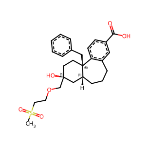 CS(=O)(=O)CCOC[C@]1(O)CC[C@]2(Cc3ccccc3)c3ccc(C(=O)O)cc3CCC[C@@H]2C1